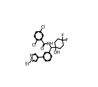 CCn1cc(-c2cccc(C(NC(=O)c3cc(Cl)ccc3Cl)C3(O)CCC(F)(F)CC3)c2)cn1